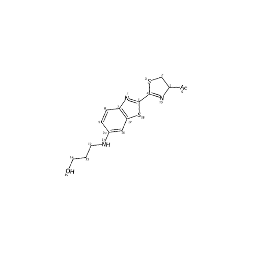 CC(=O)C1CSC(c2nc3ccc(NCCCO)cc3s2)=N1